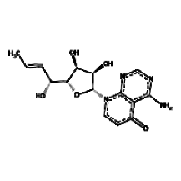 CC=C[C@@H](O)[C@H]1O[C@@H](n2ccc(=O)c3c(N)ncnc32)[C@H](O)[C@@H]1O